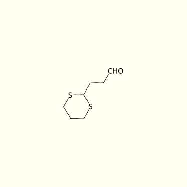 O=CCCC1SCCCS1